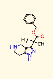 CC(C)(C(=O)OCc1ccccc1)c1n[nH]c2c1CNCC2